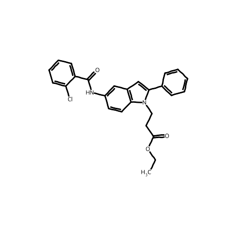 CCOC(=O)CCn1c(-c2ccccc2)cc2cc(NC(=O)c3ccccc3Cl)ccc21